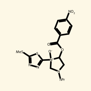 CCCN1CC(OC(=O)c2ccc([N+](=O)[O-])cc2)[N+]([O-])(c2nnc(SC)s2)C1